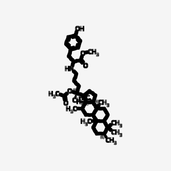 COC(=O)C(Cc1ccc(O)cc1)NCCC[C@](C)(OC(C)=O)C1CC[C@]2(C)[C@@H]1C(C)CC1C3(C)CC[C@H](C)C(C)(C)C3CCC12C